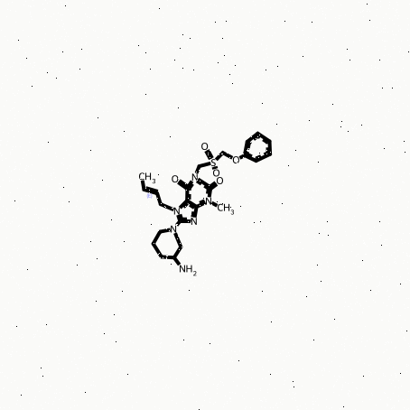 C/C=C/Cn1c(N2CCCC(N)C2)nc2c1c(=O)n(CS(=O)(=O)COc1ccccc1)c(=O)n2C